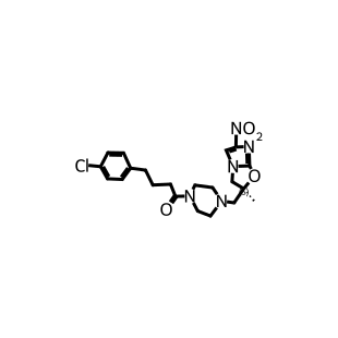 C[C@]1(CN2CCN(C(=O)CCCc3ccc(Cl)cc3)CC2)Cn2cc([N+](=O)[O-])nc2O1